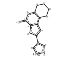 O=c1oc2c(c3cc(-c4cn[nH]c4)sc13)CCCC2